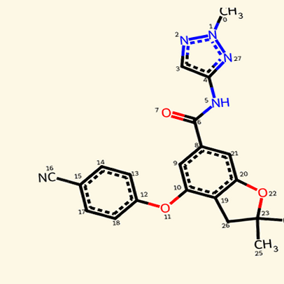 Cn1ncc(NC(=O)c2cc(Oc3ccc(C#N)cc3)c3c(c2)OC(C)(C)C3)n1